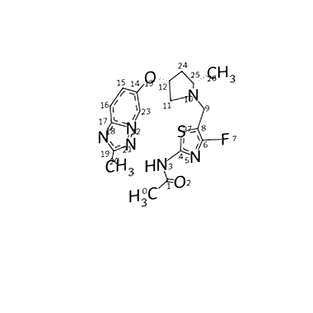 CC(=O)Nc1nc(F)c(CN2C[C@H](Oc3ccc4nc(C)nn4c3)C[C@@H]2C)s1